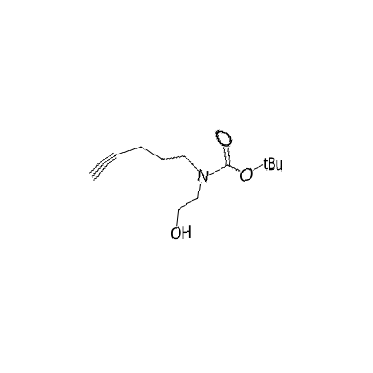 C#CCCCN(CCO)C(=O)OC(C)(C)C